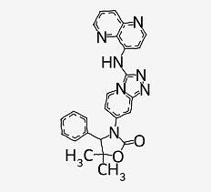 CC1(C)OC(=O)N(c2ccn3c(Nc4ccnc5cccnc45)nnc3c2)C1c1ccccc1